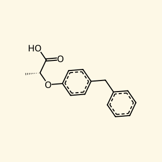 C[C@@H](Oc1ccc(Cc2ccccc2)cc1)C(=O)O